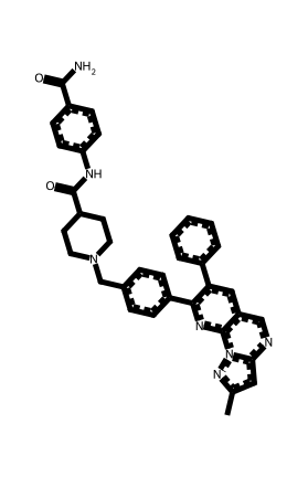 Cc1cc2ncc3cc(-c4ccccc4)c(-c4ccc(CN5CCC(C(=O)Nc6ccc(C(N)=O)cc6)CC5)cc4)nc3n2n1